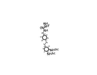 CC(=O)Nc1ccc(CCc2ccc(CNC(=O)NN)cc2)cc1NC(C)=O